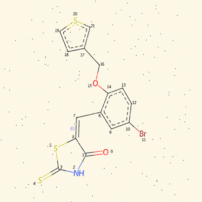 O=C1NC(=S)S/C1=C/c1cc(Br)ccc1OCc1ccsc1